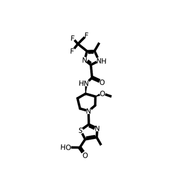 CO[C@H]1CN(c2nc(C)c(C(=O)O)s2)CC[C@H]1NC(=O)c1nc(C(F)(F)F)c(C)[nH]1